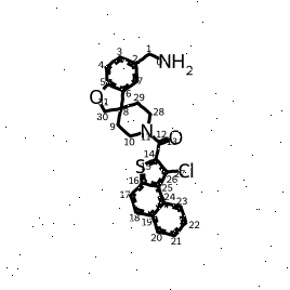 NCc1ccc2c(c1)C1(CCN(C(=O)c3sc4ccc5ccccc5c4c3Cl)CC1)CO2